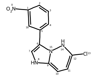 O=[N+]([O-])c1cccc(C2=CNC3=CC=C(Cl)NN32)c1